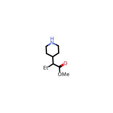 CCC(C(=O)OC)C1CCNCC1